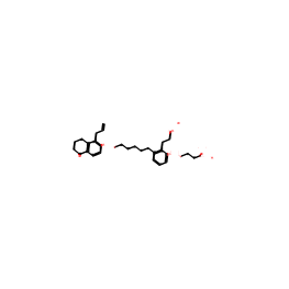 C=CCc1c(OCCCCCCc2cccc(OCCCC(=O)OC)c2CCC(=O)OC)ccc2c1CCCC2=O